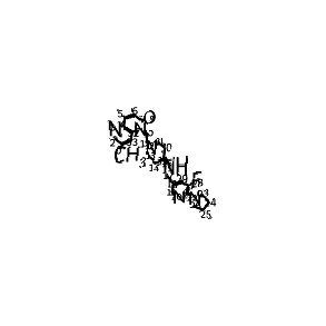 Cc1cnc2ccc(=O)n(CCN3CCC(NCc4cnc(N5CCCC5)c(F)c4)CC3)c2c1